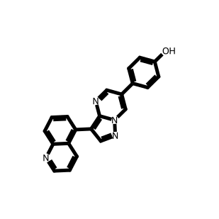 Oc1ccc(-c2cnc3c(-c4cccc5ncccc45)cnn3c2)cc1